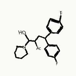 CC(=O)C(CC(c1ccc(F)cc1)c1ccc(F)cc1)C(O)N1CCCCC1